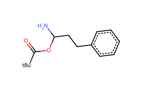 CC(C)(C)C(=O)OC(N)[CH]Cc1ccccc1